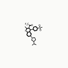 Cc1nc2ccc(N3CCC(N(C)C)C3)cc2c(-c2ccc(S(C)(=O)=O)cc2)c1C(=O)C(F)(F)F